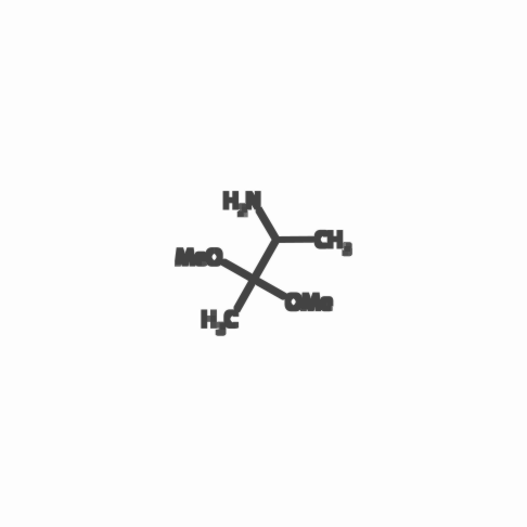 COC(C)(OC)C(C)N